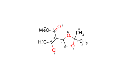 COC(=O)C(C(C)O)C1COC(C)(C)O1